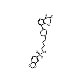 O=C1COc2c(cccc2N2CCN(CCCCNS(=O)(=O)c3ccc4c(c3)OCO4)CC2)N1